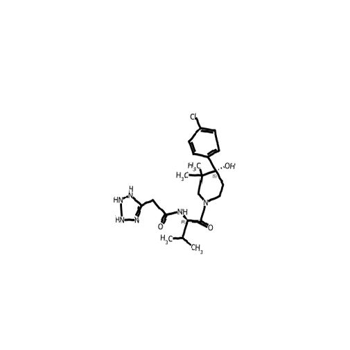 CC(C)[C@@H](NC(=O)CC1=NNNN1)C(=O)N1CC[C@](O)(c2ccc(Cl)cc2)C(C)(C)C1